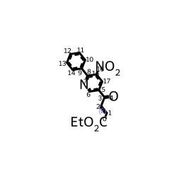 CCOC(=O)/C=C/C(=O)c1cnc(-c2ccccc2)c([N+](=O)[O-])c1